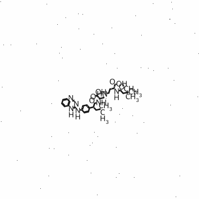 CC(C)CC(C(=O)NC(CNCCC(NC(=O)CC(C)(C)C)C(=O)O)C(=O)O)c1ccc(NC(=NC#N)Nc2ccccc2)cc1